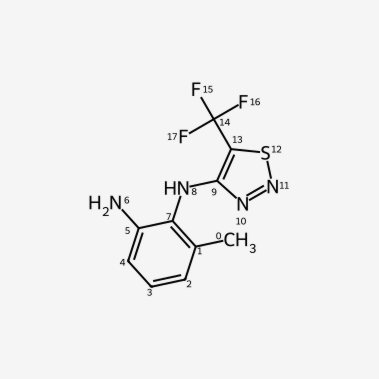 Cc1cccc(N)c1Nc1nnsc1C(F)(F)F